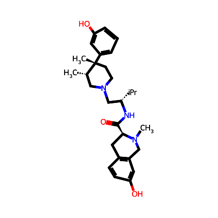 CC(C)[C@@H](CN1CC[C@@](C)(c2cccc(O)c2)[C@@H](C)C1)NC(=O)[C@@H]1Cc2ccc(O)cc2CN1C